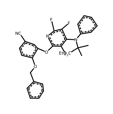 CCOC(=O)C(C)(C)N(c1ccccc1)c1c(F)c(F)nc(Oc2cc(C#N)ccc2OCc2ccccc2)c1F